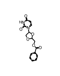 O=C(OCC1OCC(n2ccc(=O)[nH]c2=O)O1)c1ccccc1